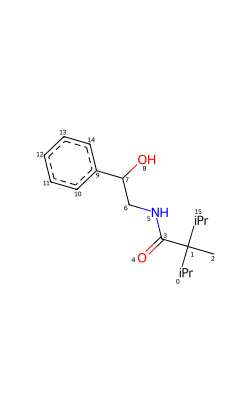 CC(C)C(C)(C(=O)NCC(O)c1ccccc1)C(C)C